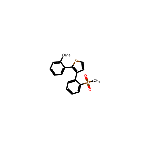 COc1ccccc1-c1sccc1-c1ccccc1S(C)(=O)=O